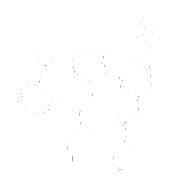 CCOC(=O)C[n+]1ccccc1.CCOC(=O)C[n+]1ccccc1.O=S(=O)([O-])[O-].O=[N+]([O-])c1ccccc1